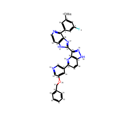 COc1cc(F)cc(-c2nccc3[nH]c(-c4n[nH]c5ccc(-c6cncc(OCc7ccccc7)c6)nc45)nc23)c1